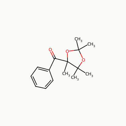 CC1(C)OC(C)(C)C(C)(C(=O)c2ccccc2)O1